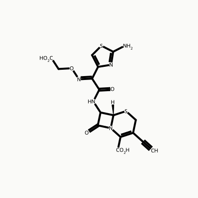 C#CC1=C(C(=O)O)N2C(=O)C(NC(=O)C(=NOCC(=O)O)c3csc(N)n3)[C@@H]2SC1